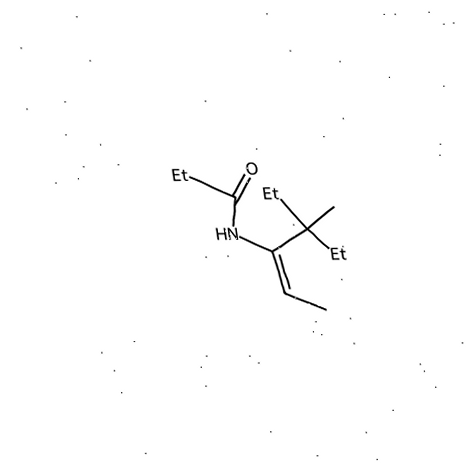 C/C=C(/NC(=O)CC)C(C)(CC)CC